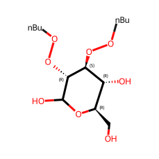 CCCCOO[C@H]1[C@H](O)[C@@H](CO)OC(O)[C@@H]1OOCCCC